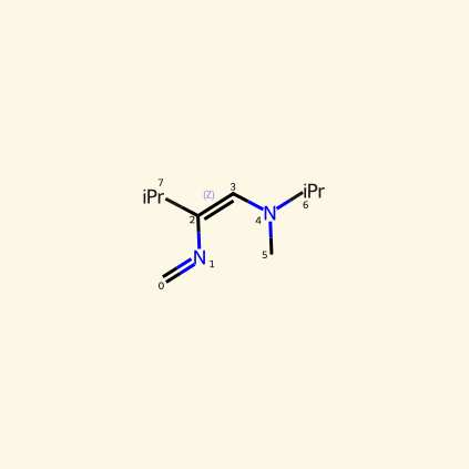 C=N/C(=C\N(C)C(C)C)C(C)C